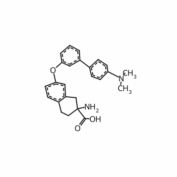 CN(C)c1ccc(-c2cccc(Oc3ccc4c(c3)CC(N)(C(=O)O)CC4)c2)cc1